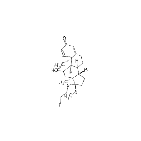 CS[C@]1(SCCF)CC[C@H]2[C@@H]3CCC4=CC(=O)C=C[C@]4(C)C3(F)[C@@H](O)C[C@@]21C